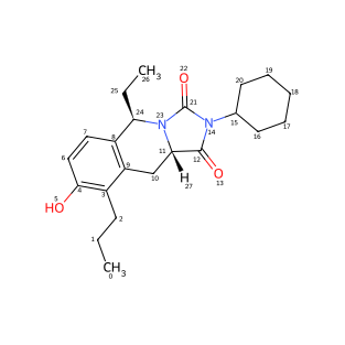 CCCc1c(O)ccc2c1C[C@H]1C(=O)N(C3CCCCC3)C(=O)N1[C@@H]2CC